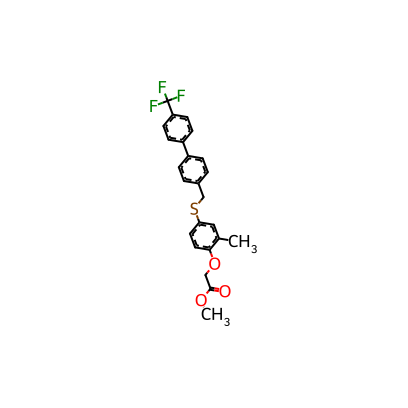 COC(=O)COc1ccc(SCc2ccc(-c3ccc(C(F)(F)F)cc3)cc2)cc1C